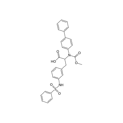 COC(=O)N(c1ccc(-c2ccccc2)cc1)C(Cc1cccc(NS(=O)(=O)c2ccccc2)c1)C(=O)O